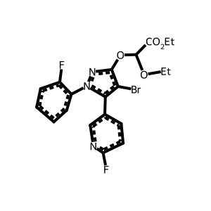 CCOC(=O)C(OCC)Oc1nn(-c2ccccc2F)c(-c2ccc(F)nc2)c1Br